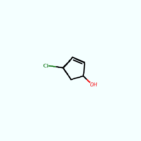 OC1C=CC(Cl)C1